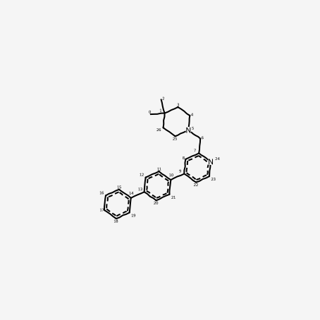 CC1(C)CCN(Cc2cc(-c3ccc(-c4ccccc4)cc3)ccn2)CC1